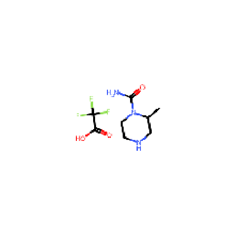 CC1CNCCN1C(N)=O.O=C(O)C(F)(F)F